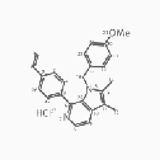 C=Cc1ccc(-c2nccc3c(C)c(C)n(Cc4ccc(OC)cc4)c23)cc1.Cl